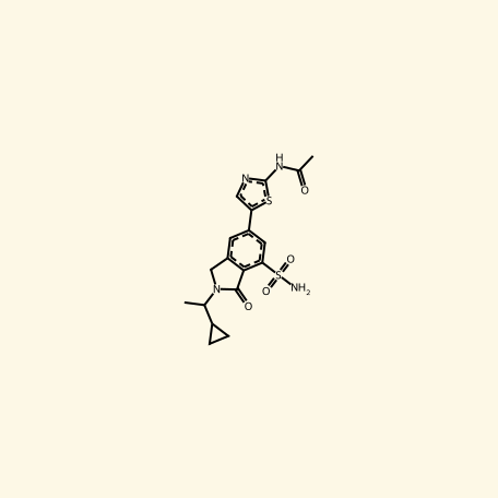 CC(=O)Nc1ncc(-c2cc3c(c(S(N)(=O)=O)c2)C(=O)N(C(C)C2CC2)C3)s1